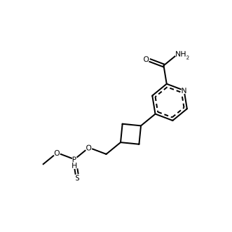 CO[PH](=S)OCC1CC(c2ccnc(C(N)=O)c2)C1